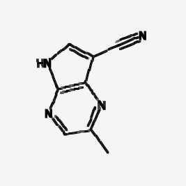 Cc1cnc2[nH]cc(C#N)c2n1